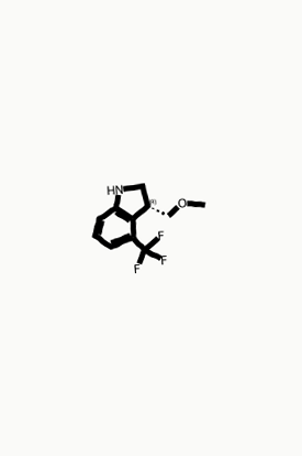 COC[C@H]1CNc2cccc(C(F)(F)F)c21